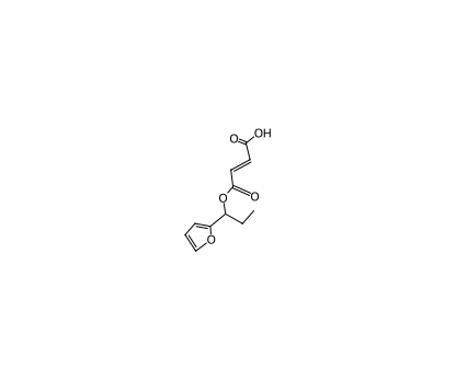 CCC(OC(=O)/C=C/C(=O)O)c1ccco1